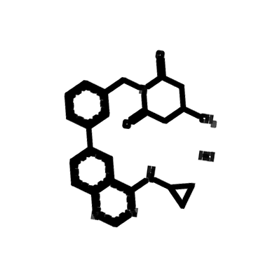 CC1CC(=O)N(Cc2cccc(-c3ccc4ncnc(NC5CC5)c4c3)c2)C(=O)C1.Cl